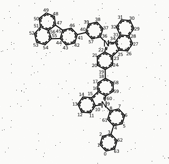 c1ccc(-c2cccc(-n3c4ccccc4c4cc(-c5ccc6c(c5)c5ccc7ccccc7c5n6-c5cccc(-c6ccc7c(c6)-c6cccc8cccc-7c68)c5)ccc43)c2)cc1